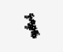 CC(C)COc1ccnc(N2C(=O)C(C)(C)c3cc(C(=O)NC4(C)CCOCC4)ccc32)c1